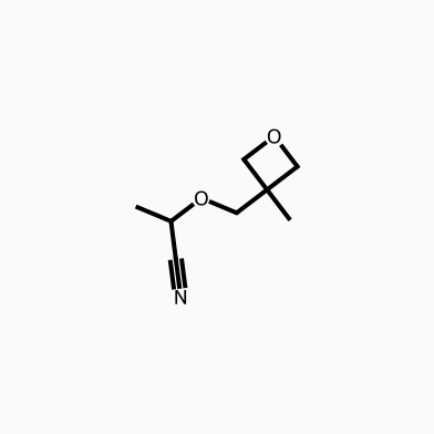 CC(C#N)OCC1(C)COC1